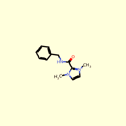 Cn1cc[n+](C)c1C(=O)NCc1ccccc1